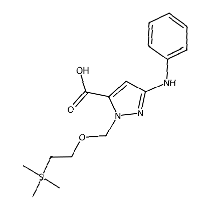 C[Si](C)(C)CCOCn1nc(Nc2ccccc2)cc1C(=O)O